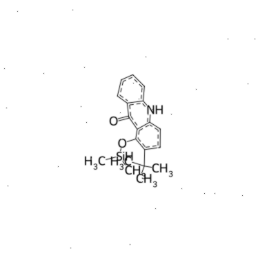 C[SiH](C)Oc1c(C(C)(C)C)ccc2[nH]c3ccccc3c(=O)c12